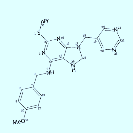 CCCSc1nc(NCc2ccc(OC)cc2)c2c(n1)N(Cc1cncnc1)CN2